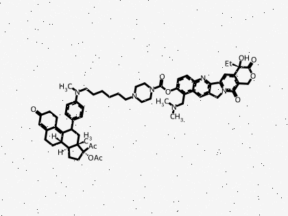 CC[C@@]1(O)C(=O)OCc2c1cc1n(c2=O)Cc2cc3c(CN(C)C)c(OC(=O)N4CCN(CCCCCCN(C)c5ccc(C6C[C@@]7(C)[C@@H](CC[C@]7(OC(C)=O)C(C)=O)[C@@H]7CCC8=CC(=O)CCC8=C67)cc5)CC4)ccc3nc2-1